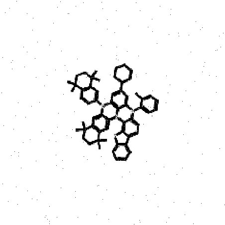 Cc1ccccc1N1c2cc(C3CCCCC3)cc3c2B(c2cc4c(cc2N3c2ccc3c(c2)C(C)(C)CCC3(C)C)C(C)(C)CCC4(C)C)c2c1ccc1c2sc2ccccc21